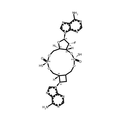 Nc1ncnc2c1ncn2[C@@H]1CC2CO[P@@](=O)(S)O[C@H]3[C@@H](F)[C@H](n4cnc5c(N)ncnc54)O[C@@H]3CO[P@](=O)(S)OC[C@H]21